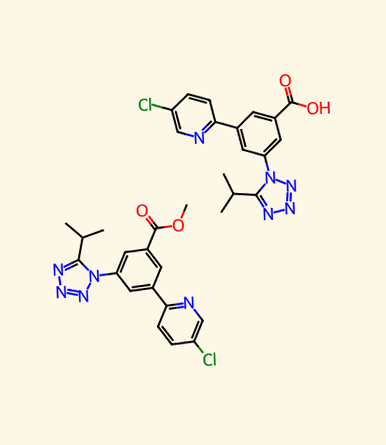 CC(C)c1nnnn1-c1cc(C(=O)O)cc(-c2ccc(Cl)cn2)c1.COC(=O)c1cc(-c2ccc(Cl)cn2)cc(-n2nnnc2C(C)C)c1